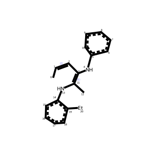 C/C=C\C(Nc1ccccc1)=C(\C)Nc1ccccc1CC